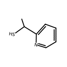 CC(S)c1ccccn1